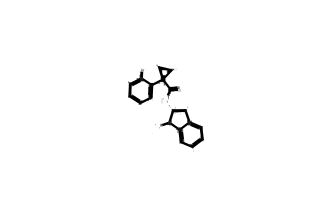 NC1c2ccccc2C[C@@H]1NC(=O)C1(c2ccccc2Cl)CC1